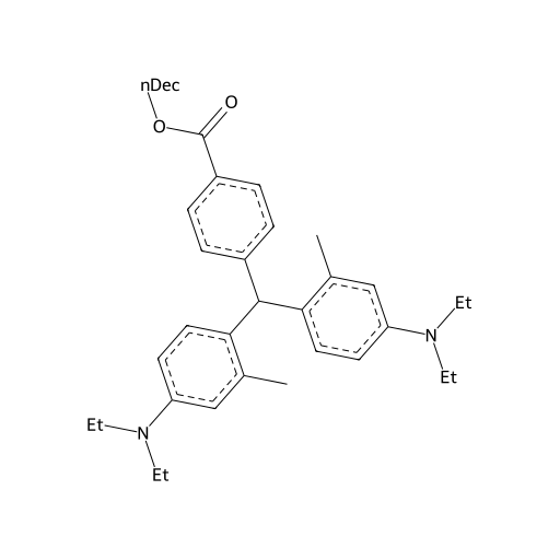 CCCCCCCCCCOC(=O)c1ccc(C(c2ccc(N(CC)CC)cc2C)c2ccc(N(CC)CC)cc2C)cc1